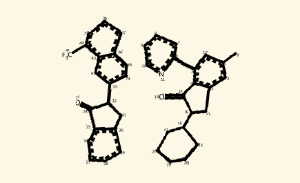 Cc1cc2c(c(-c3ccccn3)c1)C(=O)C(C1CCCCC1)C2.O=C1c2ccccc2CC1c1ccc2cccc(C(F)(F)F)c2c1